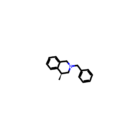 C[C@@H]1CN(Cc2ccccc2)Cc2ccccc21